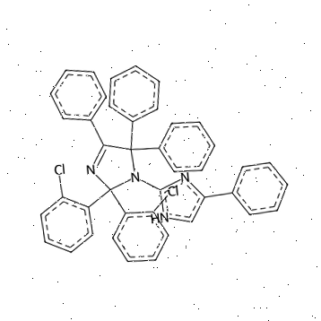 Clc1ccccc1C1(c2ccccc2Cl)N=C(c2ccccc2)C(c2ccccc2)(c2ccccc2)N1c1nc(-c2ccccc2)c[nH]1